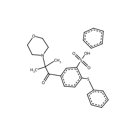 CC(C)(C(=O)c1ccc(Sc2ccccc2)c(S(=O)(=O)O)c1)N1CCOCC1.c1ccccc1